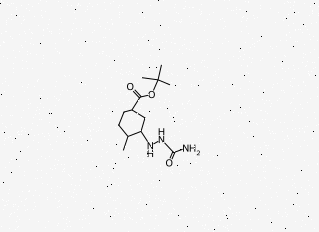 CC1CCC(C(=O)OC(C)(C)C)CC1NNC(N)=O